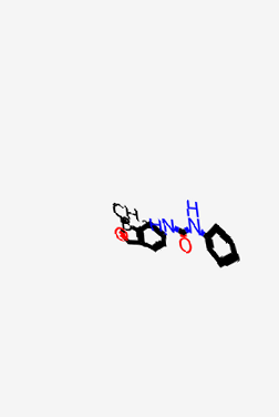 CB1OCc2ccc(NC(=O)Nc3ccccc3)cc21